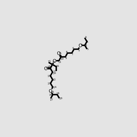 CCC(C)OCCCCCC(=O)COC(C)(CC)C(=O)CCCCCOC(C)CC